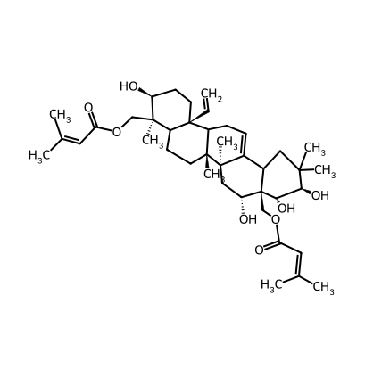 C=C[C@]12CC[C@H](O)[C@](C)(COC(=O)C=C(C)C)C1CC[C@]1(C)C2CC=C2C3CC(C)(C)[C@@H](O)[C@H](O)[C@]3(COC(=O)C=C(C)C)[C@H](O)C[C@]21C